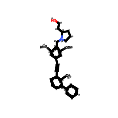 COc1cc(C#Cc2cccc(-c3ccccc3)c2C)cc(OC)c1CN1CCCC1CCO